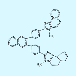 Cn1c(-c2ccc(-c3cc4ccccc4cc3-c3ccc(-c4nc5c6ccccc6ccc5n4C)cc3)cc2)nc2c1C=CC1=CC=CCC12